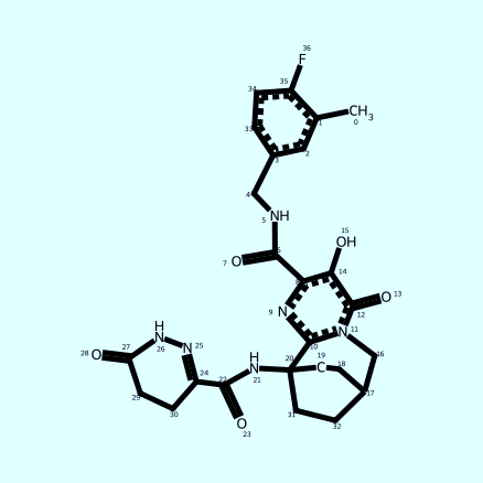 Cc1cc(CNC(=O)c2nc3n(c(=O)c2O)CC2CCC3(NC(=O)C3=NNC(=O)CC3)CC2)ccc1F